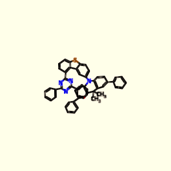 CC1(C)c2cc(-c3ccccc3)ccc2N(c2ccc3sc4cccc(-c5nc(-c6ccccc6)nc(-c6ccccc6)n5)c4c3c2)c2ccc(-c3ccccc3)cc21